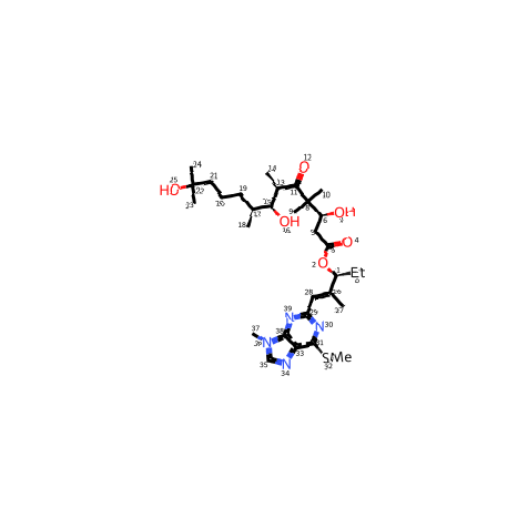 CC[C@H](OC(=O)C[C@H](O)C(C)(C)C(=O)[C@H](C)[C@@H](O)[C@@H](C)CCCC(C)(C)O)/C(C)=C/c1nc(SC)c2ncn(C)c2n1